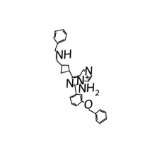 N[N+]12C=CN=CC1=C(C1CC(CNCc3ccccc3)C1)N=C2c1cccc(OCc2ccccc2)c1